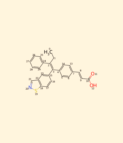 CCC(=C(c1ccc(C=CC(=O)O)cc1)c1ccc2sncc2c1)c1ccccc1